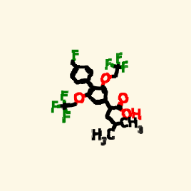 CC(C)CC(C(=O)O)c1cc(OCC(F)(F)F)c(-c2ccc(CF)cc2)c(OCC(F)(F)F)c1